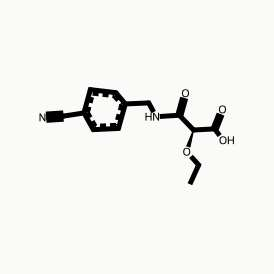 CCO[C@H](C(=O)O)C(=O)NCc1ccc(C#N)cc1